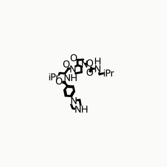 CC(C)CNC(=O)ON1CC(=O)C2C1CCN2C(=O)C(CC(C)C)NC(=O)c1ccc(N2CCNCC2)cc1